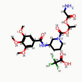 COc1cc(C(=O)NC2CCCN(C(=O)OC(C)OC(=O)CN)C2)cc(OC)c1OC.O=C(O)C(F)(F)F